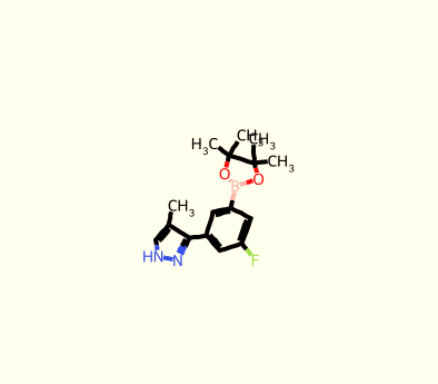 Cc1c[nH]nc1-c1cc(F)cc(B2OC(C)(C)C(C)(C)O2)c1